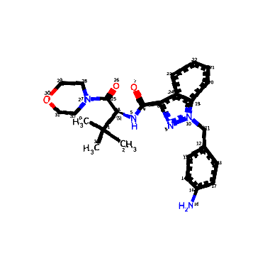 CC(C)(C)[C@H](NC(=O)c1nn(Cc2ccc(N)cc2)c2ccccc12)C(=O)N1CCOCC1